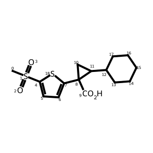 CS(=O)(=O)c1ccc(C2(C(=O)O)CC2C2CCCCC2)s1